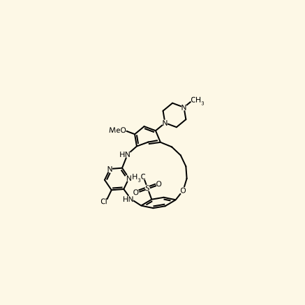 COc1cc(N2CCN(C)CC2)c2cc1Nc1ncc(Cl)c(n1)Nc1ccc(cc1S(C)(=O)=O)OCCCC2